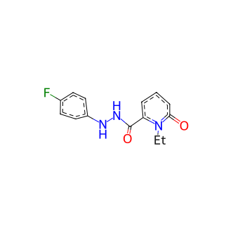 CCn1c(C(=O)NNc2ccc(F)cc2)cccc1=O